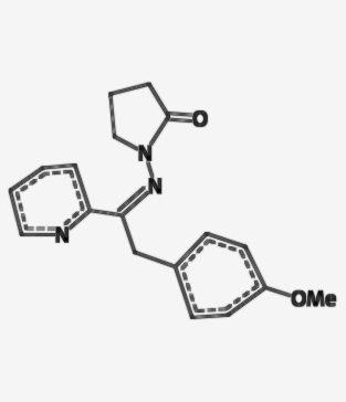 COc1ccc(CC(=NN2CCCC2=O)c2ccccn2)cc1